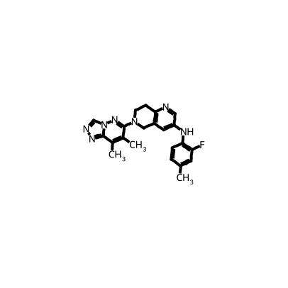 Cc1ccc(Nc2cnc3c(c2)CN(c2nn4cnnc4c(C)c2C)CC3)c(F)c1